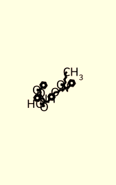 CCCCCC(=O)N(CCCOc1ccc(CC(Nc2ccccc2OC(=O)c2ccccc2)C(=O)O)cc1)Cc1ccccc1